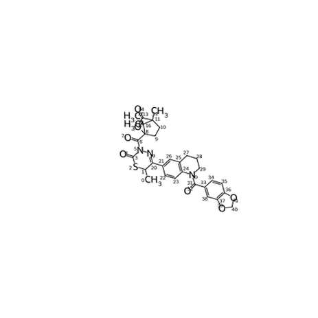 CC1SC(=O)N(C(=O)C23CCC(C)(C(=O)O2)C3(C)C)N=C1c1ccc2c(c1)CCCN2C(=O)c1ccc2c(c1)OCO2